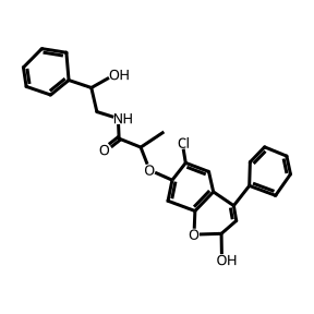 CC(Oc1cc2c(cc1Cl)C(c1ccccc1)=CC(O)O2)C(=O)NCC(O)c1ccccc1